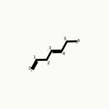 [CH]=CCC=CC[CH2]